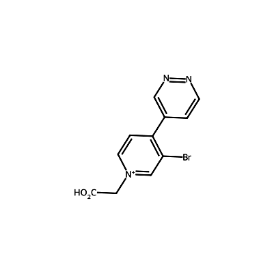 O=C(O)C[n+]1ccc(-c2ccnnc2)c(Br)c1